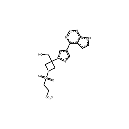 CCOC(=O)CCS(=O)(=O)N1CC(CC#N)(n2cc(-c3ncnc4[nH]ccc34)cn2)C1